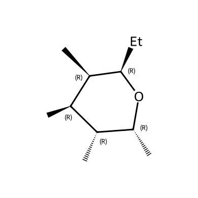 CC[C@H]1O[C@H](C)[C@H](C)[C@@H](C)[C@H]1C